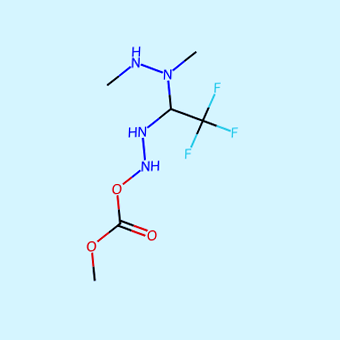 CNN(C)C(NNOC(=O)OC)C(F)(F)F